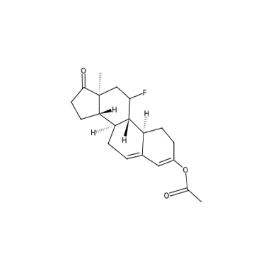 CC(=O)OC1=CC2=CC[C@@H]3[C@H](C(F)C[C@]4(C)C(=O)CC[C@@H]34)[C@H]2CC1